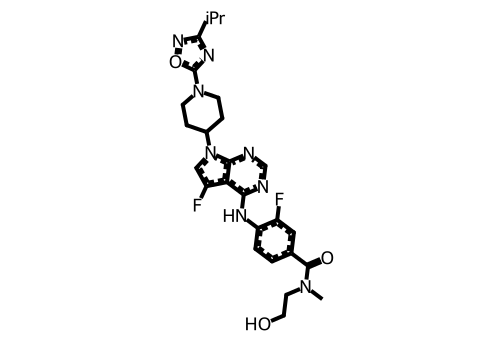 CC(C)c1noc(N2CCC(n3cc(F)c4c(Nc5ccc(C(=O)N(C)CCO)cc5F)ncnc43)CC2)n1